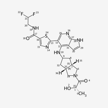 C[C@H](O)C(=O)N1C[C@H]2CC(Nc3c(-c4ncc(C(=O)NCC(F)F)s4)cnc4[nH]ccc34)C[C@H]2C1